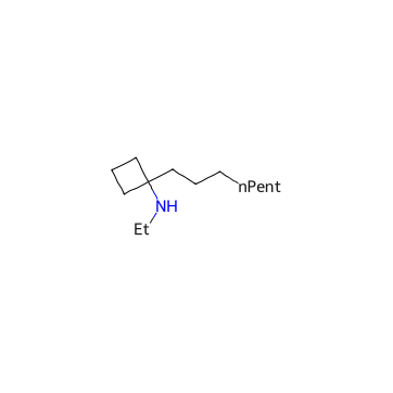 CCCCCCCCC1(NCC)CCC1